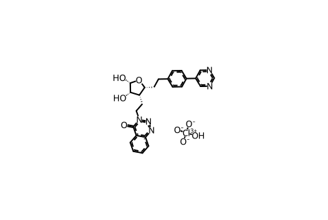 O=c1c2ccccc2nnn1CC[C@@H]1[C@H](O)[C@H](O)O[C@@H]1CCc1ccc(-c2cncnc2)cc1.[O-][Cl+3]([O-])([O-])O